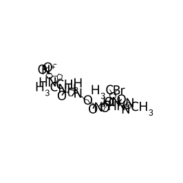 Cc1cnc(NC(=O)Nc2cc(Br)c(C)cc2OC[C@@H]2CN(C(=O)CCOCCCNc3ccc(C(=O)NCC(C)(C)C4Nc5ccc([N+](=O)[O-])cc5C5CCCC54)cc3)CCO2)cn1